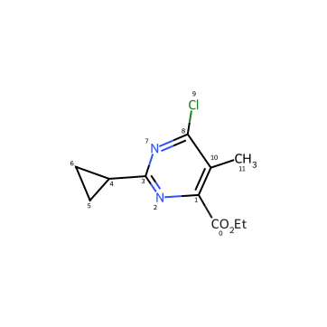 CCOC(=O)c1nc(C2CC2)nc(Cl)c1C